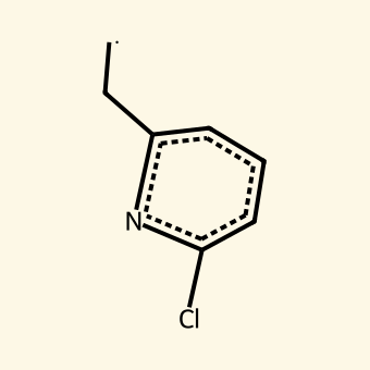 [CH2]Cc1cccc(Cl)n1